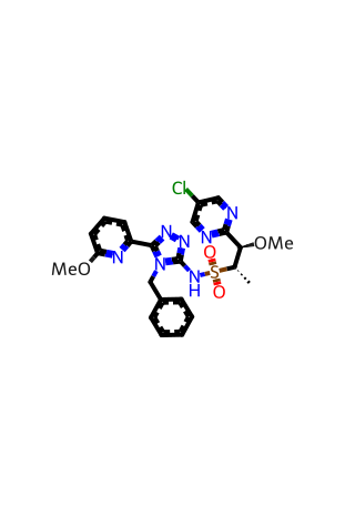 COc1cccc(-c2nnc(NS(=O)(=O)[C@@H](C)[C@H](OC)c3ncc(Cl)cn3)n2Cc2ccccc2)n1